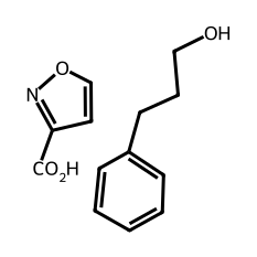 O=C(O)c1ccon1.OCCCc1ccccc1